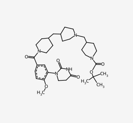 COc1ccc(C(=O)N2CCC(CC3CCN(CC4CCN(C(=O)OC(C)(C)C)CC4)CC3)CC2)cc1N1CCC(=O)NC1=O